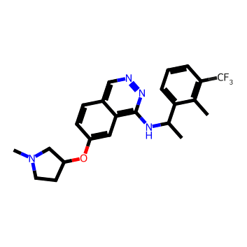 Cc1c(C(C)Nc2nncc3ccc(OC4CCN(C)C4)cc23)cccc1C(F)(F)F